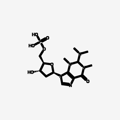 CN(C)C1N(C)C(=O)c2ncn([C@H]3C[C@H](O)[C@@H](COP(=O)(O)O)O3)c2N1C